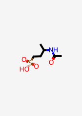 CC(=O)NC(C)CCS(=O)(=O)O